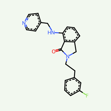 O=C1c2c(cccc2NCc2ccncc2)CN1CCc1cccc(F)c1